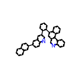 c1ccc(-c2cc3cnc4ccccc4c3c3ccccc23)c(-c2cnc3ccc(-c4ccc5ccccc5c4)cc3c2)c1